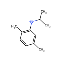 Cc1ccc(C)c(NC(C)C)c1